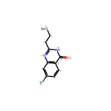 COCCc1nc2cc(Br)ccc2c(=O)[nH]1